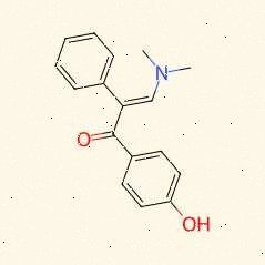 CN(C)C=C(C(=O)c1ccc(O)cc1)c1ccccc1